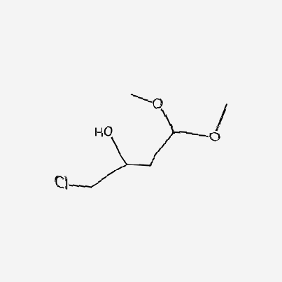 COC(CC(O)CCl)OC